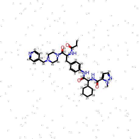 CCC(=O)NC(Cc1ccc(NC(=O)C(NC(=O)c2ccnn2C)C2CCCCC2)cc1)C(=O)N1CCN(Cc2ccncc2)CC1